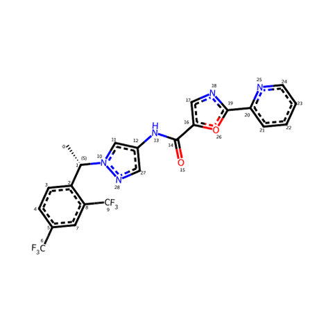 C[C@@H](c1ccc(C(F)(F)F)cc1C(F)(F)F)n1cc(NC(=O)c2cnc(-c3ccccn3)o2)cn1